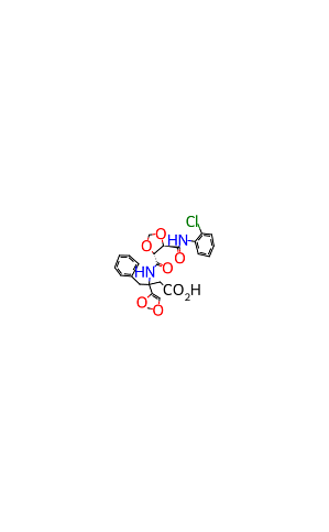 O=C(O)CC(Cc1ccccc1)(NC(=O)[C@@H]1OCO[C@H]1C(=O)Nc1ccccc1Cl)C1=COCO1